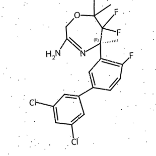 CC1(C)OCC(N)=N[C@](C)(c2cc(-c3cc(Cl)cc(Cl)c3)ccc2F)C1(F)F